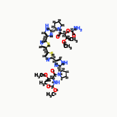 COC(=O)N[C@H](C(=O)N1CCC[C@H]1c1nc(-c2ncc(-c3cnc(-c4c[nH]c([C@@H]5CCCN5C(=O)[C@@H](OC(N)=O)[C@@H](C)OC)n4)s3)s2)c[nH]1)[C@@H](C)OC